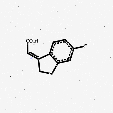 O=C(O)/C=C1/CCc2cc(F)ccc21